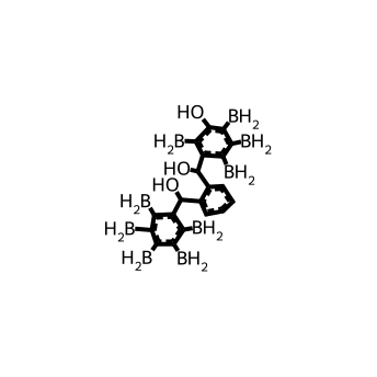 Bc1c(B)c(B)c(C(O)c2ccccc2C(O)c2c(B)c(B)c(B)c(O)c2B)c(B)c1B